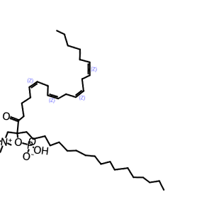 CCCCC/C=C\C/C=C\C/C=C\C/C=C\CCCC(=O)C(CCCCCCCCCCCCCCCCCC)(C[N+](C)(C)C)OP(=O)([O-])O